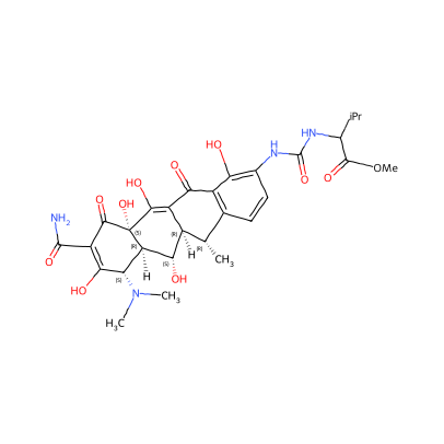 COC(=O)C(NC(=O)Nc1ccc2c(c1O)C(=O)C1=C(O)[C@]3(O)C(=O)C(C(N)=O)=C(O)[C@@H](N(C)C)[C@@H]3[C@@H](O)[C@@H]1[C@H]2C)C(C)C